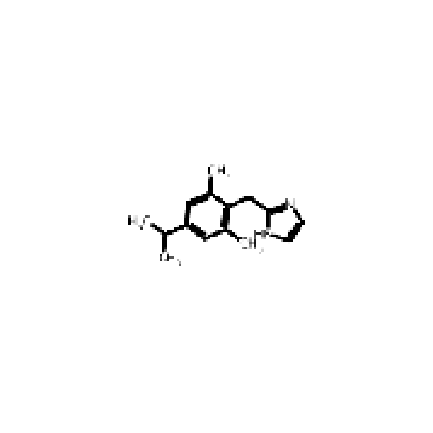 Cc1cc(C(C)C)cc(C)c1Cc1ncc[nH]1